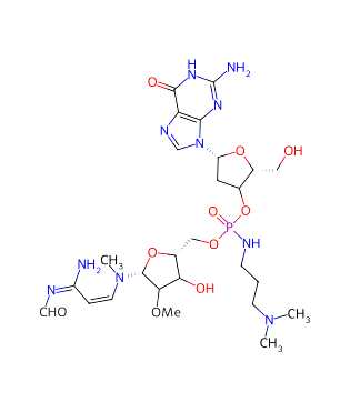 COC1C(O)[C@@H](COP(=O)(NCCCN(C)C)OC2C[C@H](n3cnc4c(=O)[nH]c(N)nc43)O[C@@H]2CO)O[C@H]1N(C)/C=C\C(N)=N/C=O